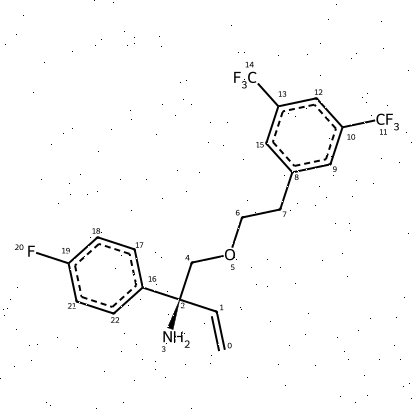 C=C[C@@](N)(COCCc1cc(C(F)(F)F)cc(C(F)(F)F)c1)c1ccc(F)cc1